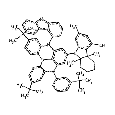 Cc1cc(C)c2c(c1)N(c1cc3c4c(c1)N(c1cccc5oc6ccccc6c15)c1cc(C(C)(C)C)ccc1B4c1ccc(C(C)(C)C)cc1N3c1cccc(C(C)(C)C)c1)C1(C)CCCCC21C